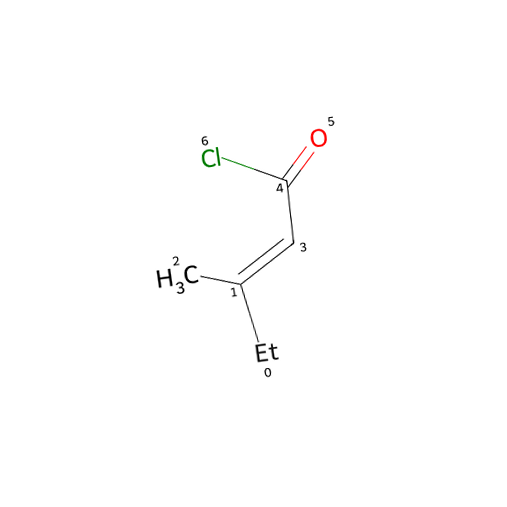 CC/C(C)=C/C(=O)Cl